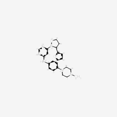 CN1CCN(c2ccc(Nc3cc(N4OCCC4c4ccco4)ncn3)cc2)CC1